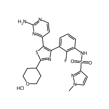 Cl.Cn1ccc(S(=O)(=O)Nc2cccc(-c3nc(C4CCOCC4)sc3-c3ccnc(N)n3)c2F)n1